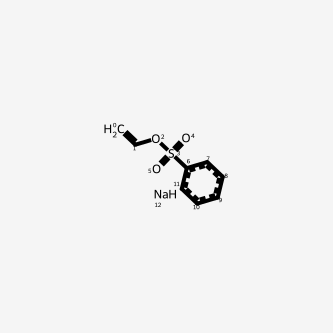 C=COS(=O)(=O)c1ccccc1.[NaH]